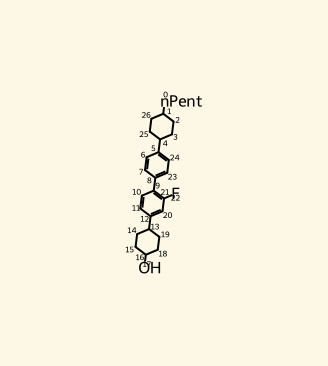 CCCCCC1CCC(c2ccc(-c3ccc(C4CCC(O)CC4)cc3F)cc2)CC1